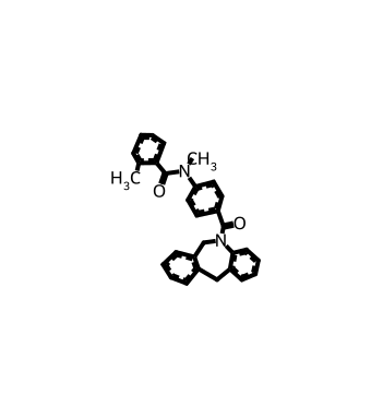 Cc1ccccc1C(=O)N(C)c1ccc(C(=O)N2Cc3ccccc3Cc3ccccc32)cc1